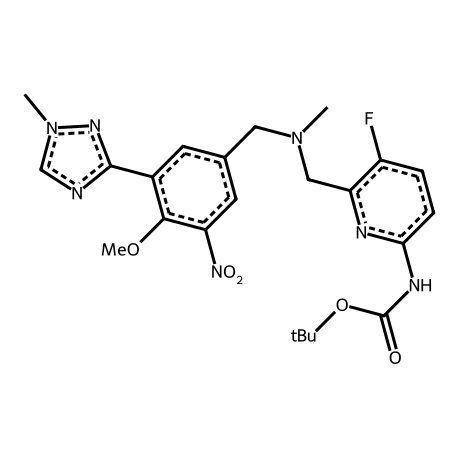 COc1c(-c2ncn(C)n2)cc(CN(C)Cc2nc(NC(=O)OC(C)(C)C)ccc2F)cc1[N+](=O)[O-]